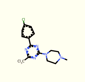 CN1CCN(c2nc(-c3ccc(Cl)cc3)nc(C(Cl)(Cl)Cl)n2)CC1